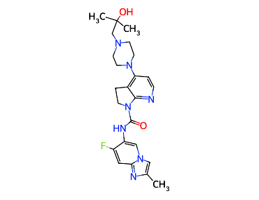 Cc1cn2cc(NC(=O)N3CCc4c(N5CCN(CC(C)(C)O)CC5)ccnc43)c(F)cc2n1